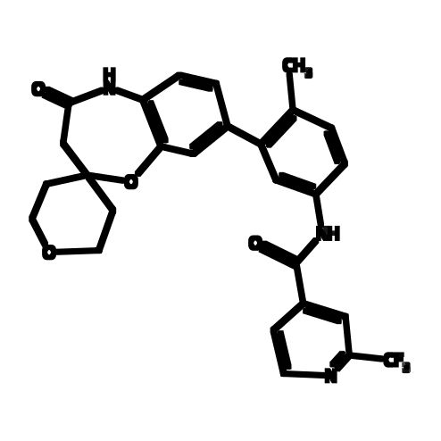 Cc1ccc(NC(=O)c2ccnc(C(F)(F)F)c2)cc1-c1ccc2c(c1)OC1(CCOCC1)CC(=O)N2